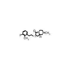 Cc1c(F)cccc1CCC[C@H]1C[C@H]2CN(C)CCN2C1=O